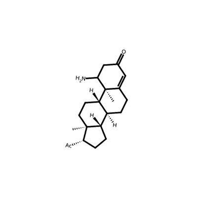 CC(=O)[C@H]1CC[C@H]2[C@@H]3CCC4=CC(=O)CC(N)[C@]4(C)[C@H]3CC[C@]12C